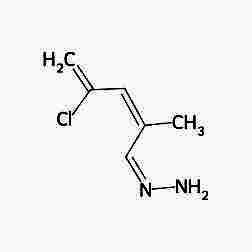 C=C(Cl)/C=C(C)\C=N/N